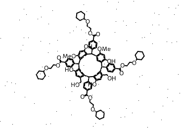 COc1cc(O)c2cc1C(c1ccc(C(=O)OCCOC3CCCCC3)cc1)c1cc(c(OC)cc1O)C(c1ccc(C(=O)OCCOC3CCCCC3)cc1)c1cc(c(CO)cc1O)C(c1ccc(C(=O)OCCOC3CCCCC3)cc1)c1cc(c(CO)cc1O)C2c1ccc(C(=O)OCCOC2CCCCC2)cc1